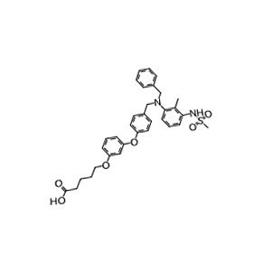 Cc1c(NS(C)(=O)=O)cccc1N(Cc1ccccc1)Cc1ccc(Oc2cccc(OCCCCC(=O)O)c2)cc1